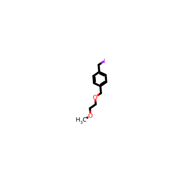 COCCOCc1ccc(CI)cc1